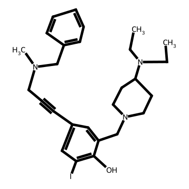 CCN(CC)C1CCN(Cc2cc(C#CCN(C)Cc3ccccc3)cc(I)c2O)CC1